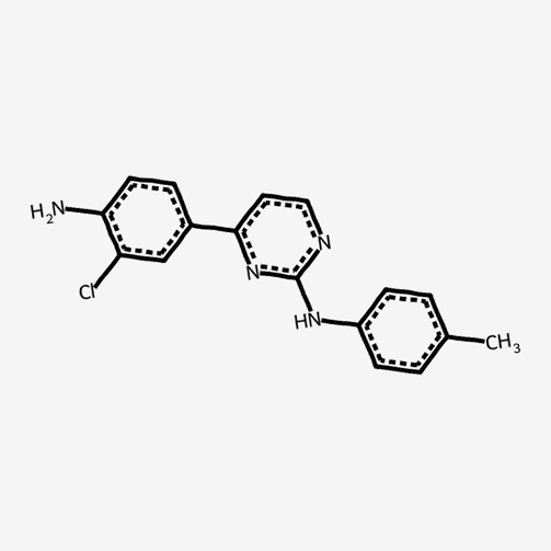 Cc1ccc(Nc2nccc(-c3ccc(N)c(Cl)c3)n2)cc1